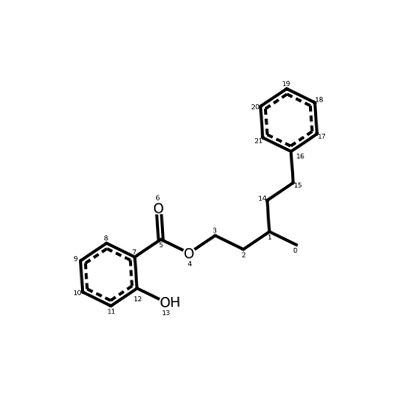 CC(CCOC(=O)c1ccccc1O)CCc1ccccc1